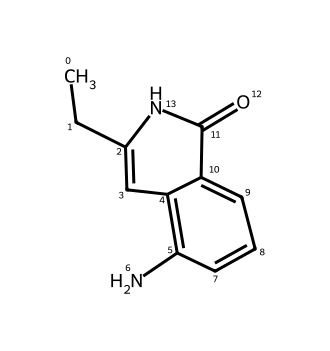 CCc1cc2c(N)cccc2c(=O)[nH]1